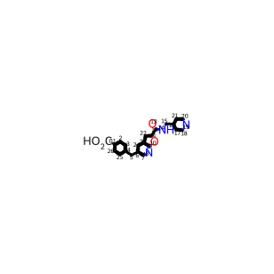 O=C(O)c1ccc(Cc2cnc3oc(C(=O)NCc4ccncc4)cc3c2)cc1